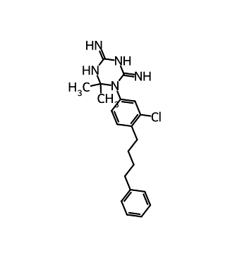 CC1(C)NC(=N)NC(=N)N1c1ccc(CCCCc2ccccc2)c(Cl)c1